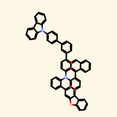 c1cc(-c2ccc(N(c3ccccc3-c3ccc4c(c3)oc3ccccc34)c3ccccc3-c3cccc4ccccc34)cc2)cc(-c2ccc(-n3c4ccccc4c4ccccc43)cc2)c1